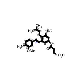 CCOc1cc(OC(=O)CCC(=O)O)cc(/C=C/c2ccc(N)c(OC)c2)c1CC=C(C)C